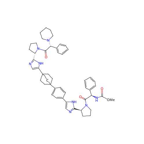 COC(=O)N[C@@H](C(=O)N1CCC[C@H]1c1ncc(-c2ccc(C34CCC(c5cnc([C@@H]6CCCN6C(=O)[C@@H](c6ccccc6)N6CCCCC6)[nH]5)(CC3)CC4)cc2)[nH]1)c1ccccc1